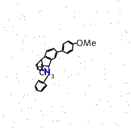 COc1ccc(-c2ccc3c(c2)C2[C@@H](C)C3CCN2Cc2ccccc2)cc1